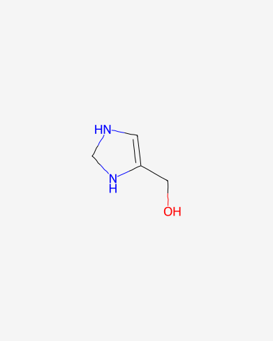 OCC1=CNCN1